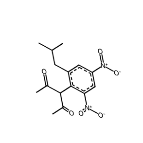 CC(=O)C(C(C)=O)c1c(CC(C)C)cc([N+](=O)[O-])cc1[N+](=O)[O-]